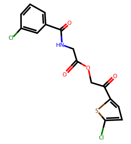 O=C(CNC(=O)c1cccc(Cl)c1)OCC(=O)c1ccc(Cl)s1